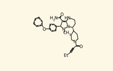 CCC#CC(=O)N1CCC([C@@H]2CCNC3=C(C(N)=O)C(c4ccc(Oc5ccccc5)cc4)N(C)N32)CC1